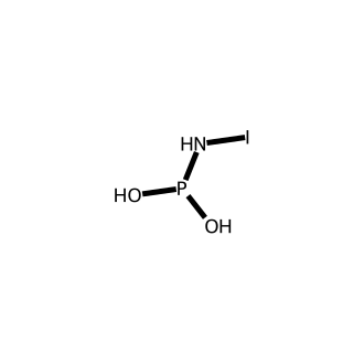 OP(O)NI